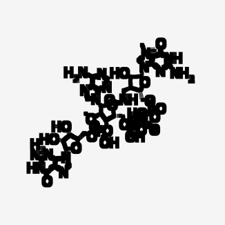 CO[C@@H]1[C@H](OP(=O)(O)OC[C@H]2O[C@@H](n3cnc4c(=O)[nH]c(N)nc43)[C@H](O)[C@@H]2O)[C@@H](COP(=O)(O)OP(=O)(O)OP(=O)(O)OC[C@H]2O[C@@H](n3c[n+](C)c4c(=O)[nH]c(N)nc43)[C@H](O)[C@@H]2CNC=O)O[C@H]1n1cnc2c(N)ncnc21